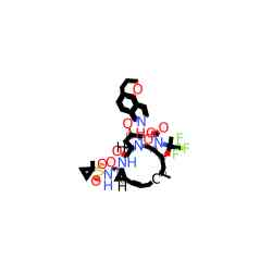 C[C@H]1CCC=C[C@@H]2C[C@@]2(C(=O)NS(=O)(=O)C2(C)CC2)NC(=O)[C@@H]2C[C@@H](Oc3nccc4c5c(ccc34)CCCO5)CN2C(=O)[C@@H](N(C(=O)O)C(C)(C)C(F)(F)F)[C@H](C)C1